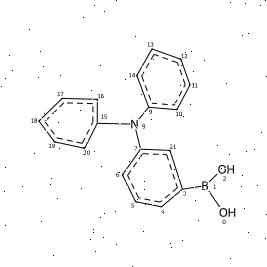 OB(O)c1cccc(N(c2ccccc2)c2ccccc2)c1